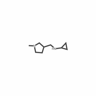 CN1CCC(CNC2CC2)C1